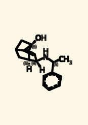 C[C@H](N[C@H]1C=C2C3C[C@H]1C[C@@]2(O)C3)c1ccccc1